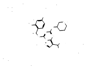 COc1cc(F)ccc1[C@H](C)Nc1nc(OC2CCCNC2)nc2c(C(C)C)cnn12